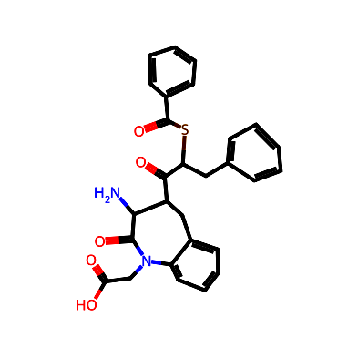 NC1C(=O)N(CC(=O)O)c2ccccc2CC1C(=O)C(Cc1ccccc1)SC(=O)c1ccccc1